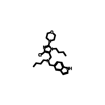 CCCCN(Cc1ccc2[nH]ccc2c1)Cc1c(Cl)nc(N2CCOCC2)n1CCCC